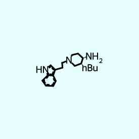 CCCC[C@@H]1CN(CCc2c[nH]c3ccccc23)CC[C@@H]1N